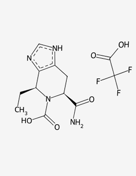 CC[C@H]1c2nc[nH]c2C[C@@H](C(N)=O)N1C(=O)O.O=C(O)C(F)(F)F